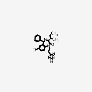 CCC(C)[C@@H]1N=C(c2ccccc2)c2cc(Cl)ccc2N(CCc2nn[nH]n2)C1=O